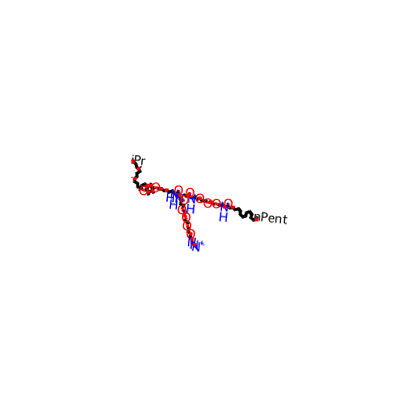 CCCCC/C=C\C/C=C\C/C=C\C/C=C\CCCC(=O)NCCOCCOCCOCCNC(=O)CC[C@H](NC(=O)CCOCCOCCOCCOCCN=[N+]=[N-])C(=O)NCCCCCCOc1c(C)c(C)c2c(c1C)CC[C@@](C)(CCC[C@H](C)CCC[C@H](C)CCCC(C)C)O2